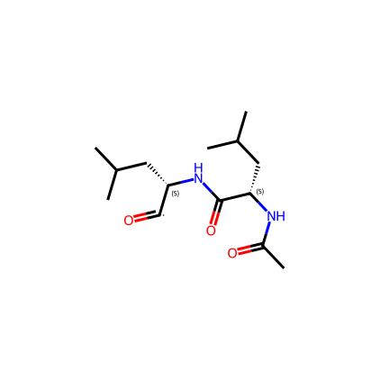 CC(=O)N[C@@H](CC(C)C)C(=O)N[C@H]([C]=O)CC(C)C